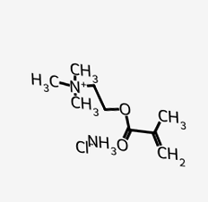 C=C(C)C(=O)OCC[N+](C)(C)C.N.[Cl-]